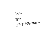 [Au+3].[O-2].[Sn+4].[Ti+4].[Ti+4].[Zn+2]